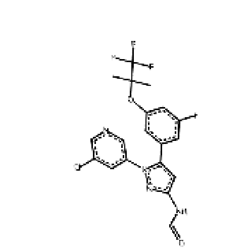 CC(C)(Oc1cc(F)cc(-c2cc(NC=O)nn2-c2cncc(Cl)c2)c1)C(F)(F)F